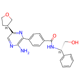 Nc1ncc([C@H]2CCOC2)nc1-c1ccc(C(=O)N[C@H](CO)c2ccccc2)cc1